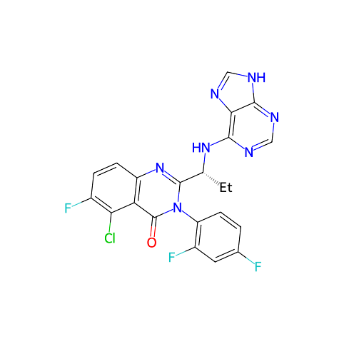 CC[C@@H](Nc1ncnc2[nH]cnc12)c1nc2ccc(F)c(Cl)c2c(=O)n1-c1ccc(F)cc1F